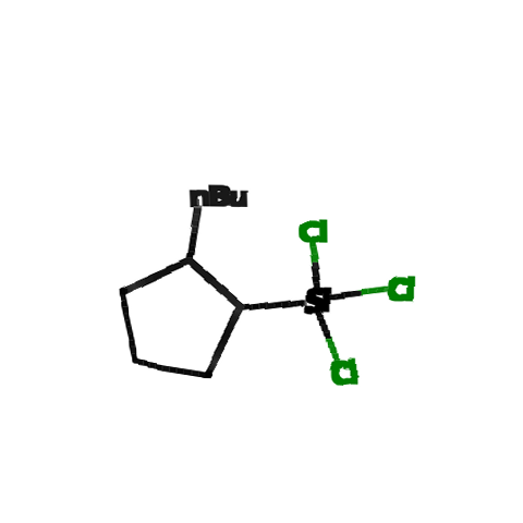 CCCCC1CCCC1[Si](Cl)(Cl)Cl